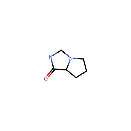 O=C1[N]CN2CCCC12